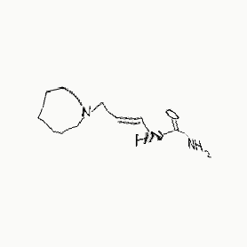 NC(=O)NC=CCN1CCCCC1